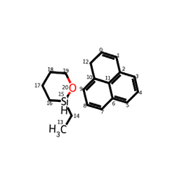 C1=Cc2cccc3cccc(c23)C1.CC[SiH]1CCCCO1